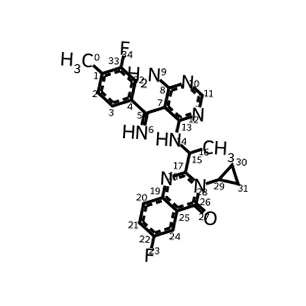 Cc1ccc(C(=N)c2c(N)ncnc2NC(C)c2nc3ccc(F)cc3c(=O)n2C2CC2)cc1F